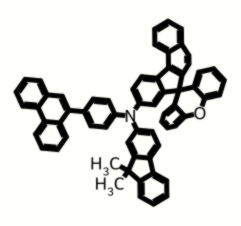 CC1(C)c2ccccc2-c2ccc(N(c3ccc(-c4cc5ccccc5c5ccccc45)cc3)c3ccc4c(c3)C3(c5ccccc5Oc5ccccc53)c3ccc5ccccc5c3-4)cc21